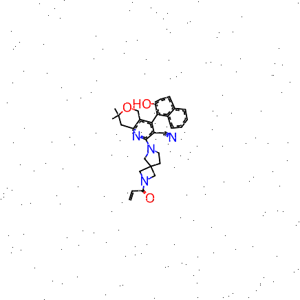 C=CC(=O)N1CC2(CCN(c3nc4c(c(-c5c(O)ccc6ccccc56)c3C#N)COC(C)(C)C4)C2)C1